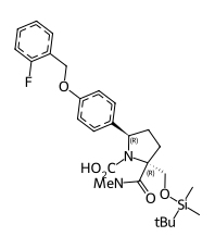 CNC(=O)[C@]1(CO[Si](C)(C)C(C)(C)C)CC[C@H](c2ccc(OCc3ccccc3F)cc2)N1C(=O)O